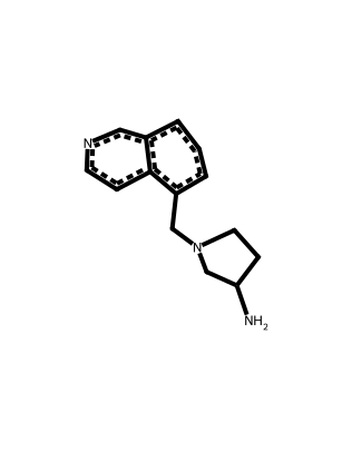 NC1CCN(Cc2cccc3cnccc23)C1